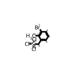 Cc1c(Br)cccc1C[Si](Cl)(Cl)Cl